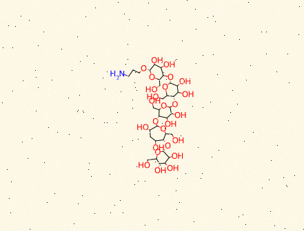 NCCCO[C@H]1OC(CO)[C@H](O[C@H]2OC(CO)[C@@H](O[C@@H]3OC(CO)[C@@H](O[C@H]4OC(CO)[C@H](O[C@H]5OC(CO)[C@@H](O)C(O)C5O)C(O)CC4O)C(O)C3O)C(O)C2O)C(O)C1O